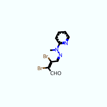 CN(/N=C\C(Br)=C(\Br)C=O)c1ccccn1